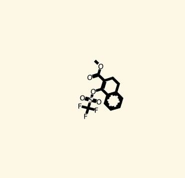 COC(=O)C1=C(OS(=O)(=O)C(F)(F)F)c2ccccc2CC1